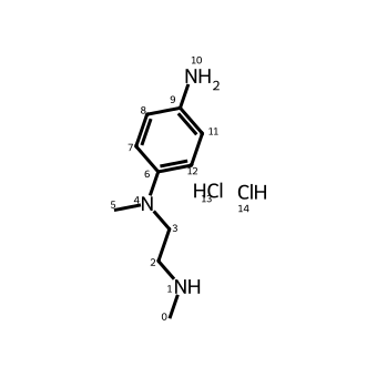 CNCCN(C)c1ccc(N)cc1.Cl.Cl